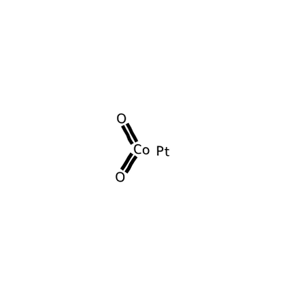 [O]=[Co]=[O].[Pt]